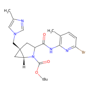 Cc1cn(C[C@@]23CC(C(=O)Nc4nc(Br)ccc4C)N(C(=O)OC(C)(C)C)[C@@H]2C3)cn1